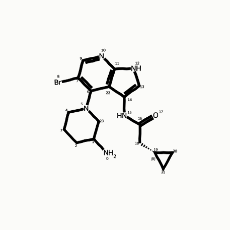 NC1CCCN(c2c(Br)cnc3[nH]cc(NC(=O)C[C@@H]4[CH]C4)c23)C1